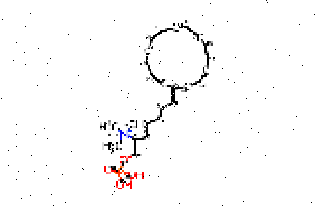 C[N+](C)(C)C(CCCCC=C1CCCCCCCCCCCCCC1)COP(=O)(O)O